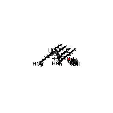 CCCCCC(=O)O.CCCCCCCC(=O)O.CCCCCCCCCC(=O)O.CCCCCCCCCCCC(=O)O.CCCCCCCCCCCCCC(=O)O.[NaH].[NaH].[NaH].[NaH].[NaH].[NaH]